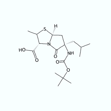 CC(C)C[C@@]1(NC(=O)OC(C)(C)C)C[C@@H]2SC(C)[C@@H](C(=O)O)N2C1=O